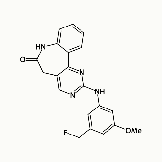 COc1cc(CF)cc(Nc2ncc3c(n2)-c2ccccc2NC(=O)C3)c1